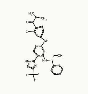 CN(C)C(=O)c1ccc(Nc2ncc(-c3nc(C(F)(F)F)n[nH]3)c(N[C@H](CO)c3ccccc3)n2)cc1Cl